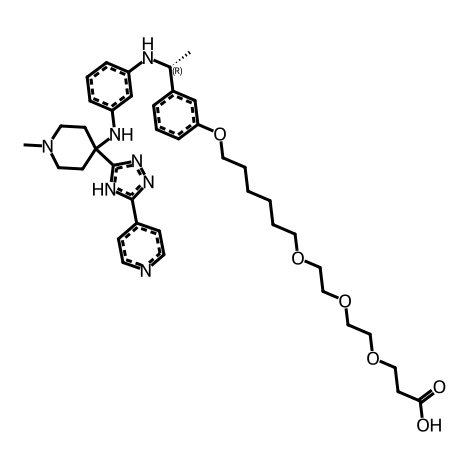 C[C@@H](Nc1cccc(NC2(c3nnc(-c4ccncc4)[nH]3)CCN(C)CC2)c1)c1cccc(OCCCCCCOCCOCCOCCC(=O)O)c1